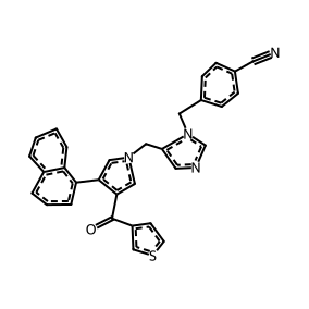 N#Cc1ccc(Cn2cncc2Cn2cc(C(=O)c3ccsc3)c(-c3cccc4ccccc34)c2)cc1